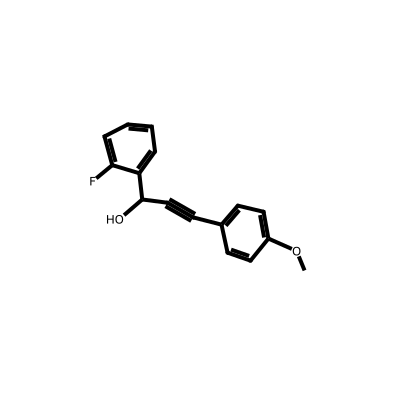 COc1ccc(C#CC(O)c2ccccc2F)cc1